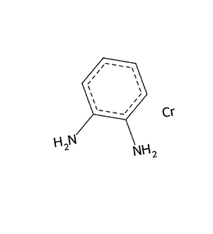 Nc1ccccc1N.[Cr]